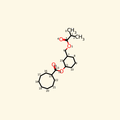 CC(C)C(=O)OCC1CCCC(OC(=O)C2CCCCCCC2)C1